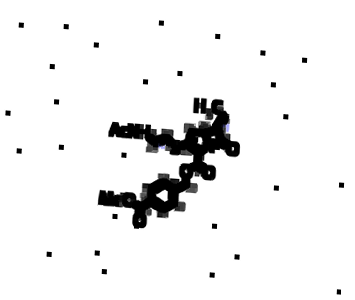 C/C=C1/C(=O)N2C(C(=O)OCc3ccc(C(=O)OC)cc3)=C(S/C=C/NC(C)=O)CC12